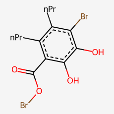 CCCc1c(Br)c(O)c(O)c(C(=O)OBr)c1CCC